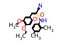 CCOc1ccc(/C=C(/C#N)S(=O)(=O)Nc2ccc(C)cc2C)cc1OC